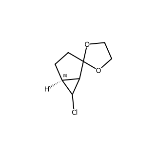 ClC1C2[C@@H]1CCC21OCCO1